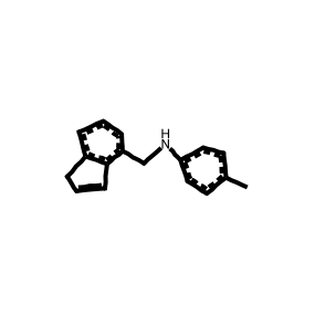 Cc1ccc(NCc2cccc3c2C=CC3)cc1